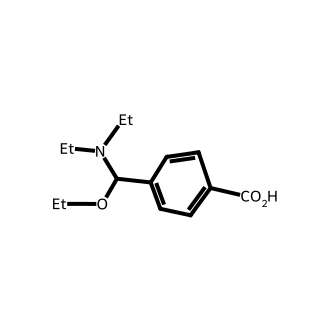 CCOC(c1ccc(C(=O)O)cc1)N(CC)CC